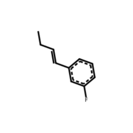 CCC=Cc1cccc(F)c1